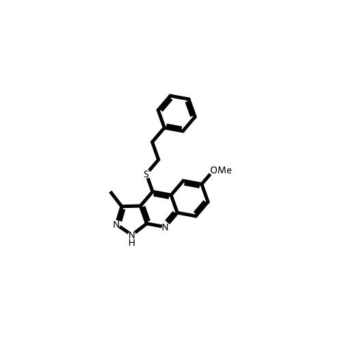 COc1ccc2nc3[nH]nc(C)c3c(SCCc3ccccc3)c2c1